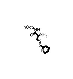 CCCCCCCCNC(=O)C(N)CSSc1ccccn1